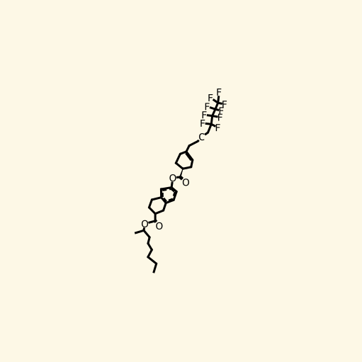 CCCCCCC(C)OC(=O)C1CCc2cc(OC(=O)[C@@H]3CC=C(CCCCC(F)(F)C(F)(F)C(F)(F)C(F)(F)F)CC3)ccc2C1